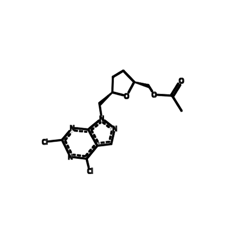 CC(=O)OC[C@@H]1CC[C@H](Cn2ncc3c(Cl)nc(Cl)nc32)O1